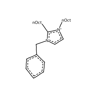 CCCCCCCCc1n(Cc2ccccc2)cc[n+]1CCCCCCCC